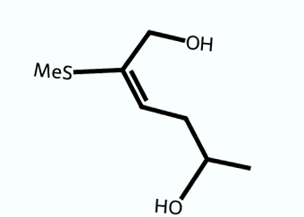 CSC(=CCC(C)O)CO